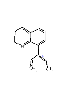 C=C/C(=C\C)c1cccc2cccnc12